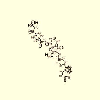 Cc1nc2n(c(=O)c1CCN1CCC(c3noc4cc(F)ccc34)CC1)CCCC2OCC(=O)N1CCN(C(=O)CC(=O)O)CC1